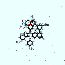 Cc1cc2c3c(c1)N(c1ccc(C(C)(C)C)cc1)c1c(oc4ccc(C(C)(C)C)cc14)B3c1cc3c(cc1N2c1c(-c2ccccc2)cc(C(C)(C)C)cc1-c1ccccc1)C(C)(C)CCC3(C)C